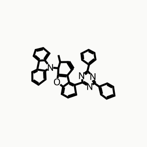 CC1C#Cc2c(oc3cccc(-c4nc(-c5ccccc5)nc(-c5ccccc5)n4)c23)C1n1c2ccccc2c2ccccc21